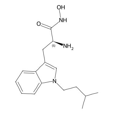 CC(C)CCn1cc(C[C@H](N)C(=O)NO)c2ccccc21